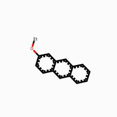 CCOc1ccc2[c]c3ccccc3cc2c1